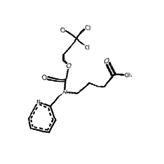 O=C(O)CCCN(C(=O)OCC(Cl)(Cl)Cl)c1ccccn1